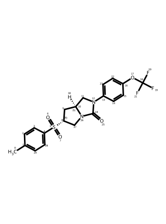 Cc1ccc(S(=O)(=O)[C@@H]2C[C@H]3CN(c4ccc(OC(F)(F)F)cc4)C(=O)N3C2)cc1